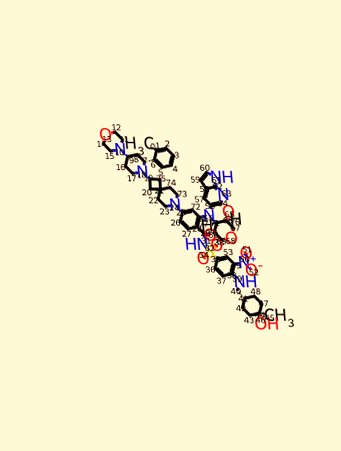 Cc1ccccc1[C@H]1C[C@H](N2CCOCC2)CCN1C1CC2(CCN(c3ccc(C(=O)NS(=O)(=O)c4ccc(NC[C@H]5CC[C@](C)(O)CC5)c([N+](=O)[O-])c4)c(N4c5cc6cc[nH]c6nc5O[C@H]5COCC[C@@H]54)c3)CC2)C1